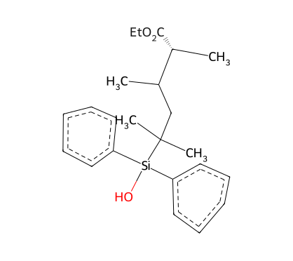 CCOC(=O)[C@H](C)C(C)CC(C)(C)[Si](O)(c1ccccc1)c1ccccc1